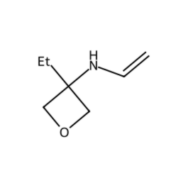 C=CNC1(CC)COC1